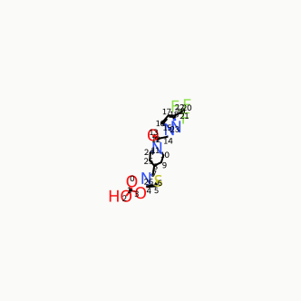 O=C(O)Oc1csc(C2CCN(C(=O)Cn3ccc(C(F)(F)F)n3)CC2)n1